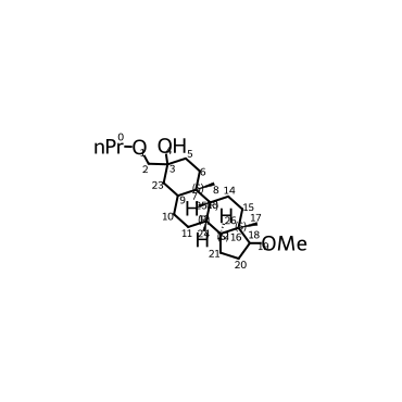 CCCOCC1(O)CC[C@@]2(C)C(CC[C@@H]3[C@H]2CC[C@]2(C)C(OC)CC[C@@H]32)C1